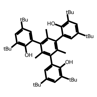 Cc1c(-c2cc(C(C)(C)C)cc(C(C)(C)C)c2O)c(C)c(-c2cc(C(C)(C)C)cc(C(C)(C)C)c2O)c(C)c1-c1cc(C(C)(C)C)cc(C(C)(C)C)c1O